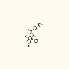 CC(=O)c1c(CNC(=O)c2ccc(-c3csc(C)n3)cc2)c(=O)c2ccc(Cl)cc2n1-c1ccccc1